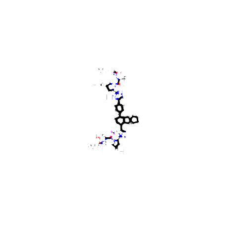 COC(=O)N[C@H](C(=O)N1CC(C)=C[C@H]1c1ncc(-c2ccc(-c3ccc(-c4cnc([C@@H]5C=C(C)CN5C(=O)[C@@H](NC(=O)OC)C(C)C)[nH]4)c4c3CC3(CCCC3)C4)cc2)[nH]1)C(C)C